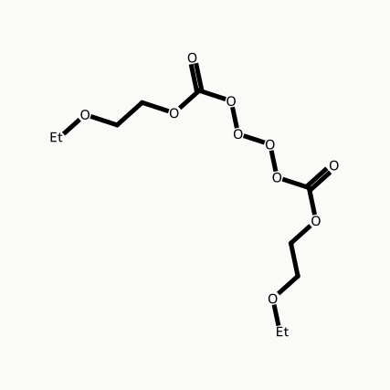 CCOCCOC(=O)OOOOC(=O)OCCOCC